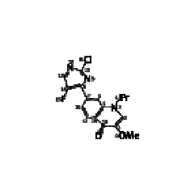 COc1cn(C(C)C)c2cc(-c3nc(Cl)ncc3F)ccc2c1=O